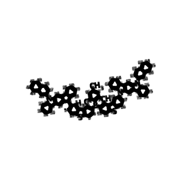 Cc1cc(C)c(B(c2ccc3sc4ccc(C5c6ccccc6-c6cc7c(cc65)c5ccccc5n7-c5ccc6ccccc6c5)cc4c3c2)c2ccc3sc4ccc(-n5c6ccccc6c6cc7c(cc65)c5ccccc5n7-c5ccc6ccccc6c5)cc4c3c2)c(C)c1